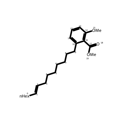 CCCCCCC=CCCCCCCCc1cccc(OC)c1C(=O)OC